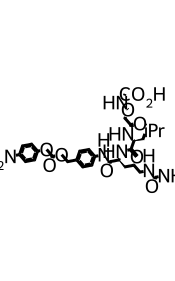 CC(C)C[C@H](NC(=O)CONC(=O)O)C(=O)N[C@@H](CCCNC(N)=O)C(=O)Nc1ccc(COC(=O)Oc2ccc([N+](=O)[O-])cc2)cc1